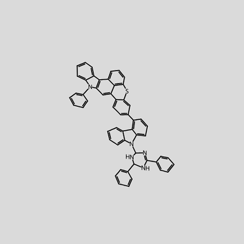 c1ccc(C2=NC(n3c4ccccc4c4c(-c5ccc6c(c5)Sc5cccc7c5c-6cc5c7c6ccccc6n5-c5ccccc5)cccc43)NC(c3ccccc3)N2)cc1